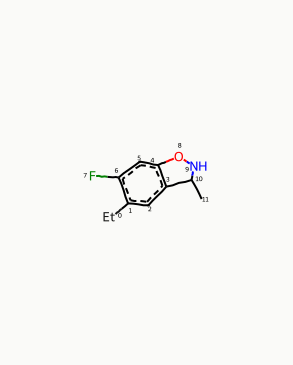 CCc1cc2c(cc1F)ONC2C